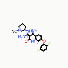 N#CN1CCCC(N/C(N)=C(\C(=N)c2ccc(Oc3cc(F)ccc3F)cc2)C(N)=O)C1